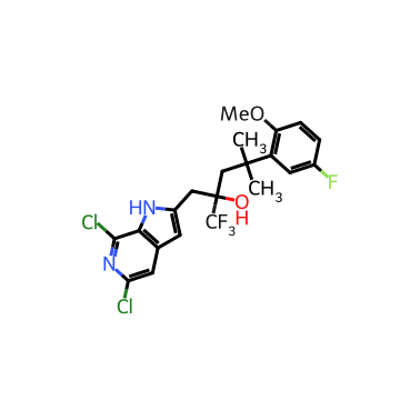 COc1ccc(F)cc1C(C)(C)CC(O)(Cc1cc2cc(Cl)nc(Cl)c2[nH]1)C(F)(F)F